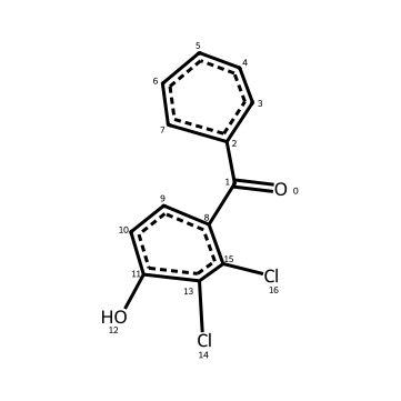 O=C(c1ccccc1)c1ccc(O)c(Cl)c1Cl